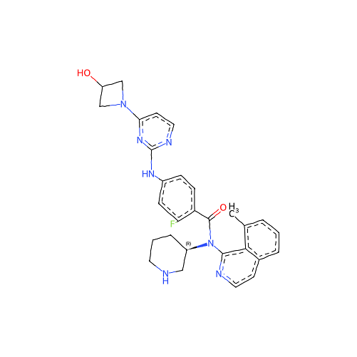 Cc1cccc2ccnc(N(C(=O)c3ccc(Nc4nccc(N5CC(O)C5)n4)cc3F)[C@@H]3CCCNC3)c12